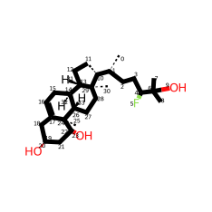 C[C@H](CCC(F)C(C)(C)O)[C@H]1CC[C@H]2[C@@H]3CC=C4C[C@@H](O)CC(O)[C@]4(C)[C@H]3CC[C@]12C